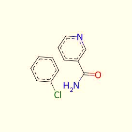 Clc1ccccc1.NC(=O)c1cccnc1